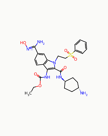 CCOC(=O)Nc1c(C(=O)N[C@H]2CC[C@H](N)CC2)n(CCS(=O)(=O)c2ccccc2)c2cc(/C(N)=N/O)ccc12